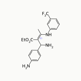 CCOC(=O)/C(=C(\C)Nc1cccc(C(F)(F)F)c1)C(N)c1ccc(N)cc1